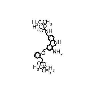 CC(C)(C)OC(=O)Cc1ccccc1OCc1cc(N)c(C=N)c(-c2cccc(CNC(=O)OC(C)(C)C)c2)c1